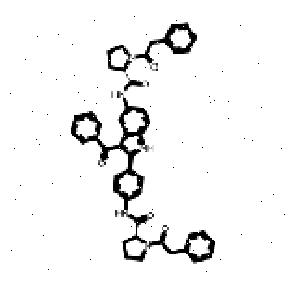 O=C(c1ccccc1)c1c(-c2ccc(NC(=O)[C@@H]3CCCN3C(=O)Cc3ccccc3)cc2)[nH]c2ccc(NC(=O)[C@@H]3CCCN3C(=O)Cc3ccccc3)cc12